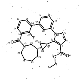 CCOC(=O)c1cnn(-c2cccc(-c3cccc(C(=O)N4CCCCCC4)c3F)c2)c1C1CC1